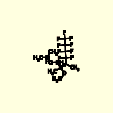 CC(C(F)(F)C(F)(F)C(F)(F)C(F)(F)F)[Si](C)(O[SiH3])[SiH2]O[SiH](C)C